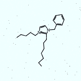 CCCCCCCc1n(Cc2ccccc2)cc[n+]1CCCCC